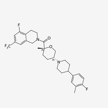 Cc1cc(C2CCN([C@@H]3CC[C@](C)(C(=O)N4CCc5c(F)cc(C(F)(F)F)cc5C4)OC3)CC2)ccc1F